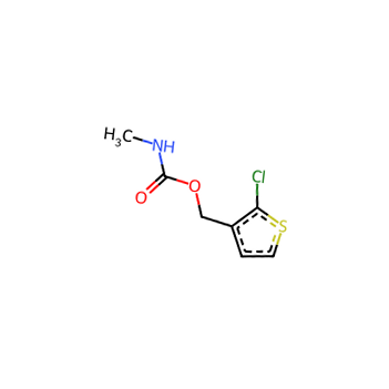 CNC(=O)OCc1ccsc1Cl